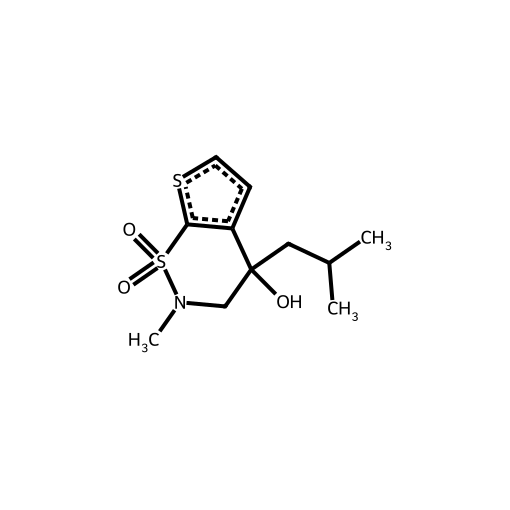 CC(C)CC1(O)CN(C)S(=O)(=O)c2sccc21